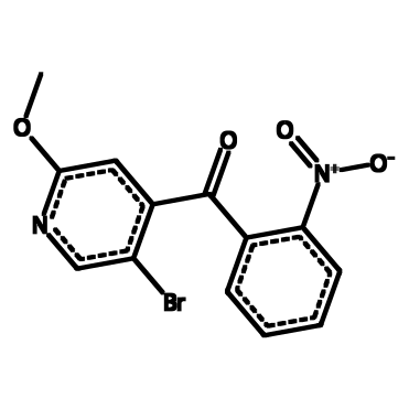 COc1cc(C(=O)c2ccccc2[N+](=O)[O-])c(Br)cn1